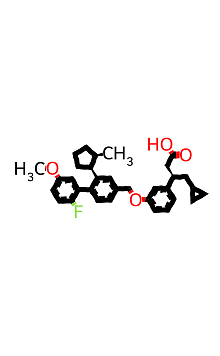 COc1ccc(F)c(-c2ccc(COc3cccc([C@@H](CC(=O)O)CC4CC4)c3)cc2[C@H]2CCC[C@H]2C)c1